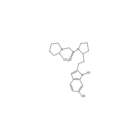 CCOC(=O)C1CCCCN1CC(=O)N1CCCC1CCc1cc2ccc(C#N)cc2n1CC